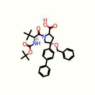 CC(C)(C)OC(=O)N[C@H](C(=O)N1C[C@](OCc2ccccc2)(c2ccc(-c3ccccc3)cc2)CC1C(=O)O)C(C)(C)C